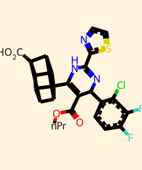 CCCOC(=O)C1=C(C23C4C5C2C2C3C4C52C(=O)O)NC(c2nccs2)=NC1c1ccc(F)c(F)c1Cl